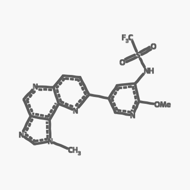 COc1ncc(-c2ccc3ncc4ncn(C)c4c3n2)cc1NS(=O)(=O)C(F)(F)F